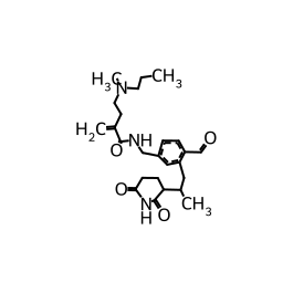 C=C(CCN(C)CCC)C(=O)NCc1ccc(C=O)c(CC(C)C2CCC(=O)NC2=O)c1